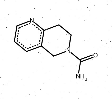 NC(=O)N1CCc2ncccc2C1